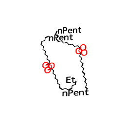 CC/C=C\C/C=C\C/C=C\CCCCCCCC(=O)OC(=O)CCCCCCC/C=C\C/C=C\CCCCC.CCCCCC=CCC=CCC=CCC=CCCCC(=O)OC(=O)CCCCCCC/C=C\C/C=C\CCCCC